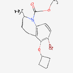 COC(=O)N1c2ccc(Br)c(OC3CCC3)c2CCC1C